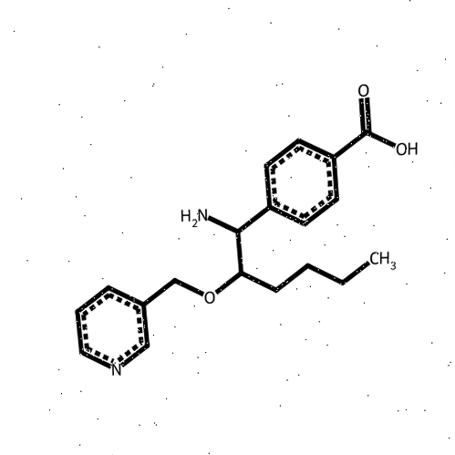 CCCCC(OCc1cccnc1)C(N)c1ccc(C(=O)O)cc1